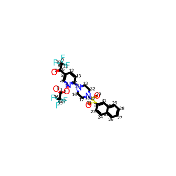 O=C(O[n+]1cc(C(=O)C(F)(F)F)ccc1N1CCN(S(=O)(=O)c2ccc3ccccc3c2)CC1)C(F)(F)F